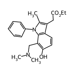 CCOC(=O)Cc1c(C)n(-c2ccccc2)c2c(CN(C)C)c(O)ccc12